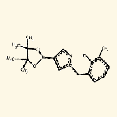 CC1(C)OB(c2cnn(Cc3cccc(C(F)(F)F)c3Cl)c2)OC1(C)C